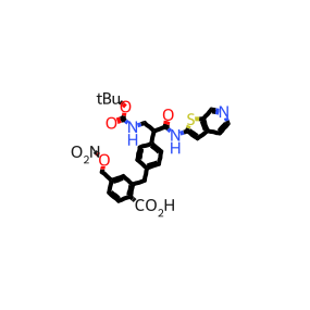 CC(C)(C)OC(=O)NCC(C(=O)Nc1cc2ccncc2s1)c1ccc(Cc2cc(CO[N+](=O)[O-])ccc2C(=O)O)cc1